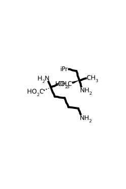 CC(C)C[C@](C)(N)C(=O)O.C[C@](N)(CCCCN)C(=O)O